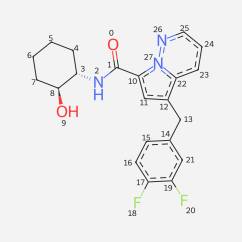 O=C(N[C@H]1CCCC[C@@H]1O)c1cc(Cc2ccc(F)c(F)c2)c2cccnn12